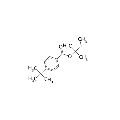 CCC(C)(C)OC(=O)c1ccc(C(C)(C)C)cc1